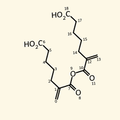 C=C(CCCCC(=O)O)C(=O)OC(=O)C(=C)CCCCC(=O)O